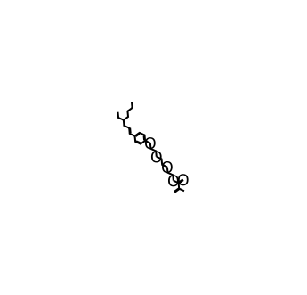 C=C(C)C(=O)OCCOCCOCCOc1ccc(/C=C/CC(CC)CCCC)cc1